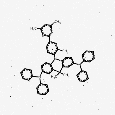 Cc1cc(C)nc(-c2ccc(N3c4ccc(N(c5ccccc5)c5ccccc5)cc4C(C)(C)c4cc(N(c5ccccc5)c5ccccc5)ccc43)c(C)c2)n1